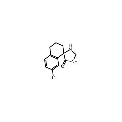 O=C1NCNC12CCCc1ccc(Cl)cc12